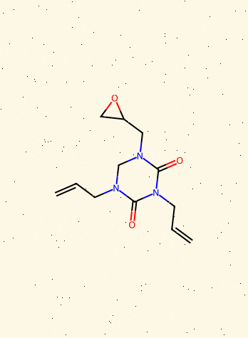 C=CCN1CN(CC2CO2)C(=O)N(CC=C)C1=O